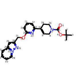 CC(C)(C)OC(=O)N1CC=C(c2cccc(OCc3cc4ccccn4n3)n2)CC1